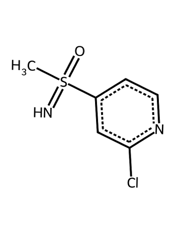 CS(=N)(=O)c1ccnc(Cl)c1